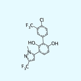 Cn1nc(C(F)(F)F)cc1-c1ccc(O)c(-c2ccc(Cl)c(C(F)(F)F)c2)c1O